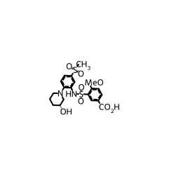 COc1ccc(C(=O)O)cc1S(=O)(=O)Nc1cc(S(C)(=O)=O)ccc1N1CCC[C@@H](O)C1